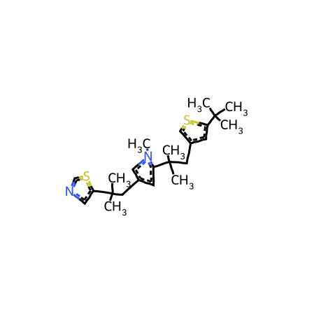 Cn1cc(CC(C)(C)c2cncs2)cc1C(C)(C)Cc1csc(C(C)(C)C)c1